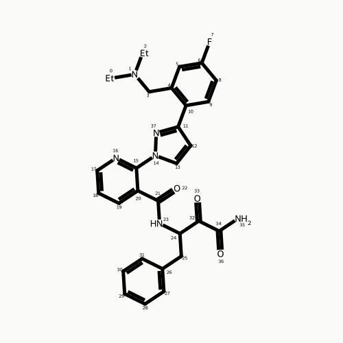 CCN(CC)Cc1cc(F)ccc1-c1ccn(-c2ncccc2C(=O)NC(Cc2ccccc2)C(=O)C(N)=O)n1